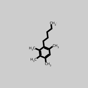 [CH2]CCCCc1c(C)cc(C)c(C)c1C